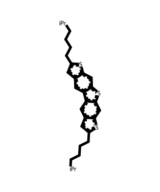 CC(C)CCCCc1cc2cc3c(cc2s1)sc1cc2sc(CCCCC(C)C)cc2cc13